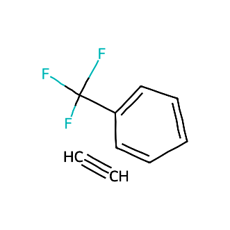 C#C.FC(F)(F)c1ccccc1